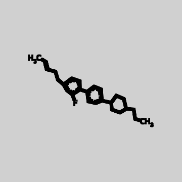 C/C=C/CCc1ccc(-c2ccc(C3CCC(CCC)CC3)cc2)c(F)c1